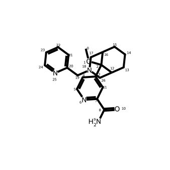 COC1(c2ccnc(C(N)=O)c2)C2CCCC1CN(Cc1ccccn1)C2